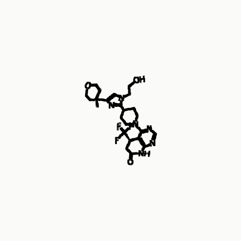 CC1(c2cn(CCO)c(C3CCN(c4ncnc5c4[C@H](C(F)(F)F)CC(=O)N5)CC3)n2)CCOCC1